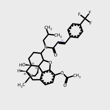 CC(=O)Oc1ccc2c3c1OC1C(N(CC(C)C)C(=O)/C=C/c4ccc(C(F)(F)F)cc4)CC[C@@]4(O)[C@@H](C2)N(C)CC[C@]314